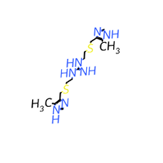 Cc1[nH]cnc1CSCCNC(=N)NCCSCc1nc[nH]c1C